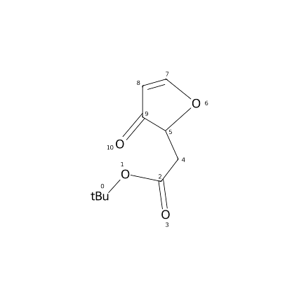 CC(C)(C)OC(=O)CC1OC=CC1=O